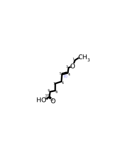 CCOC/C=C/CCCCC(=O)O